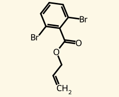 C=CCOC(=O)c1c(Br)cccc1Br